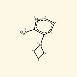 O=[N+]([O-])c1ncccc1N1CCC1